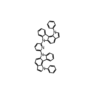 c1ccc(-n2ccc3ccc4c(c5ccccc5n4-c4cccc(-n5c6ccccc6c6c7c(ccc65)ccn7-c5ccccc5)n4)c32)cc1